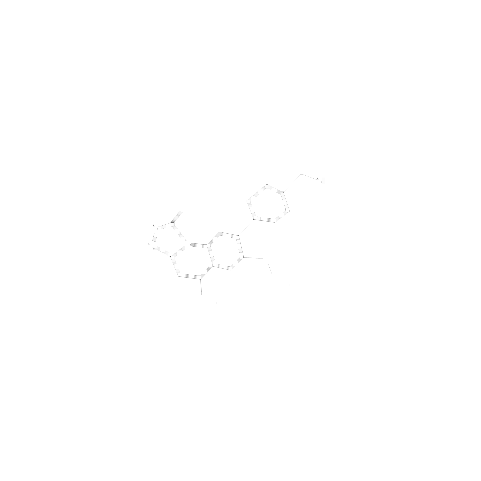 COc1cc2c(C)cc3n[nH]c(=O)n3c2cc1-c1ccc(CN)cc1